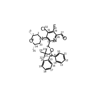 C[C@@H]1CN(c2c(CO[Si](c3ccccc3)(c3ccccc3)C(C)(C)C)nc(C=O)c(F)c2Cl)C[C@H](C)O1